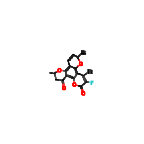 CCc1c(F)c(=O)oc2c3c(c4c(c12)OC(CC)C=C4)OC(C)CC3=O